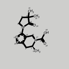 C[C@H]1Cc2noc(N3CCC(C)(C)C3=O)c2CN1C(=O)O